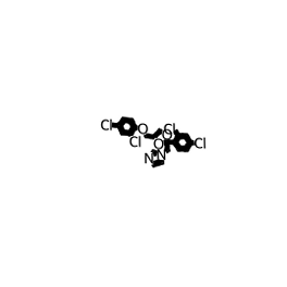 Clc1ccc(OCC2COC(Cn3ccnc3)(c3ccc(Cl)cc3Cl)O2)c(Cl)c1